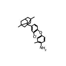 Cc1cc(Oc2ccc(C34CC5CC(C)(CC(C)(C5)C3)C4)cc2Cl)ccc1N